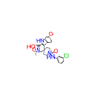 COc1ccc2c3c([nH]c2c1)[C@H](CO)N(C(C)=O)CC31CCN(C(=O)Nc2cccc(Cl)c2)CC1